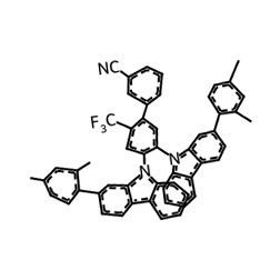 Cc1ccc(-c2ccc3c4ccccc4n(-c4cc(-c5cccc(C#N)c5)c(C(F)(F)F)cc4-n4c5ccccc5c5ccc(-c6ccc(C)cc6C)cc54)c3c2)c(C)c1